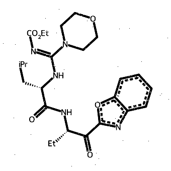 CCOC(=O)N=C(N[C@@H](CC(C)C)C(=O)N[C@@H](CC)C(=O)c1nc2ccccc2o1)N1CCOCC1